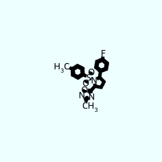 Cc1ccc(S(=O)(=O)N2C(c3ccc(F)cc3)CCC2c2nc(C)no2)cc1